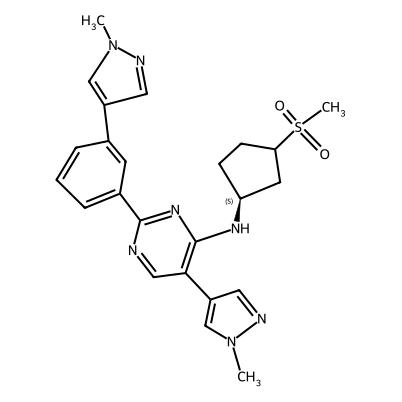 Cn1cc(-c2cccc(-c3ncc(-c4cnn(C)c4)c(N[C@H]4CCC(S(C)(=O)=O)C4)n3)c2)cn1